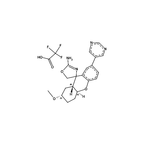 CO[C@H]1CC[C@@H]2Oc3ccc(-c4cncnc4)cc3C3(COC(N)=N3)[C@H]2C1.O=C(O)C(F)(F)F